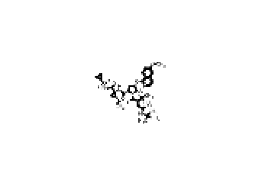 C=C[C@@H]1C[C@]1(NC(=O)[C@@H]1C[C@@H](Oc2nccc3cc(OC)ccc23)CN1C(=O)C(CC(=O)NC(C)(C)C)C(C)(C)C)C(=O)NS(=O)(=O)C1CC1